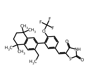 CCc1cc2c(cc1-c1cc(/C=C3/SC(=O)NC3=O)ccc1OC(F)(F)F)C(C)(C)CCC2(C)C